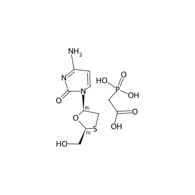 Nc1ccn([C@H]2CS[C@@H](CO)O2)c(=O)n1.O=C(O)CP(=O)(O)O